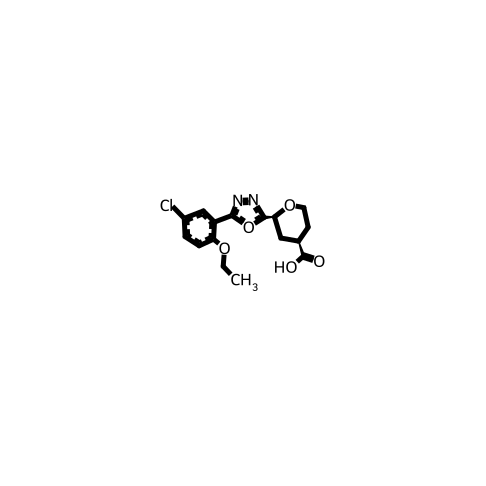 CCOc1ccc(Cl)cc1-c1nnc([C@@H]2C[C@H](C(=O)O)CCO2)o1